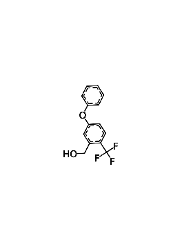 OCc1cc(Oc2ccccc2)ccc1C(F)(F)F